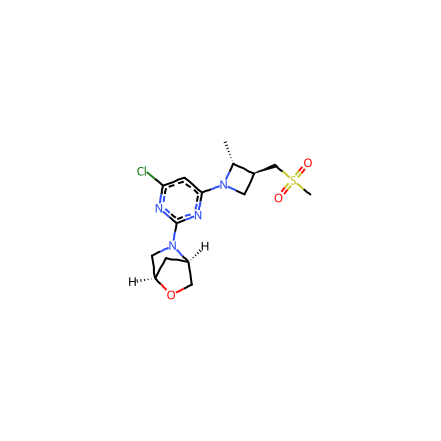 C[C@@H]1[C@@H](CS(C)(=O)=O)CN1c1cc(Cl)nc(N2C[C@H]3C[C@@H]2CO3)n1